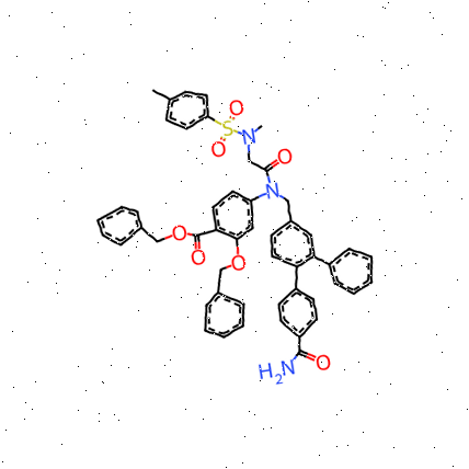 Cc1ccc(S(=O)(=O)N(C)CC(=O)N(Cc2ccc(-c3ccc(C(N)=O)cc3)c(-c3ccccc3)c2)c2ccc(C(=O)OCc3ccccc3)c(OCc3ccccc3)c2)cc1